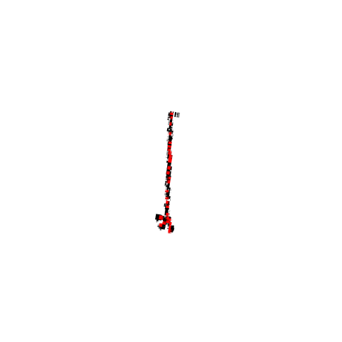 OCCOCCOCCOCCOCCOCCOCCOCCOCCOCCOCCOCCOCCOCCOCCOCCOCCOCCOCCOc1ccc(C=Cc2ccccc2)c(C=Cc2ccccc2)c1C=Cc1ccccc1